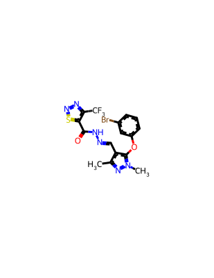 Cc1nn(C)c(Oc2cccc(Br)c2)c1C=NNC(=O)c1snnc1C(F)(F)F